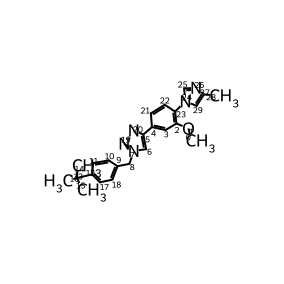 COc1cc(-c2cn(Cc3ccc(C(C)(C)C)cc3)nn2)ccc1-n1cnc(C)c1